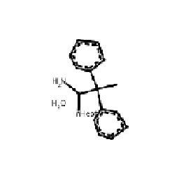 CCCCCCCC(N)C(C)(c1ccccc1)c1ccccc1.O